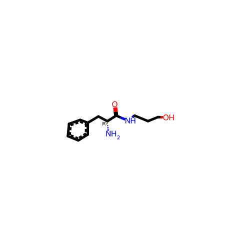 N[C@H](Cc1ccccc1)C(=O)NCCCO